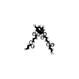 CC=CC(=O)OCCCC(=O)OC12CC3(C)CC(C)(C1)CC(OC(=O)CCCOC(=O)C=CC)(C3)C2